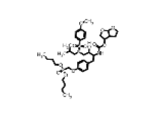 CCCCOP(=O)(COc1ccc(CC(NC(=O)OC2COC3OCCC23)C(O)CN(CC(C)C)S(=O)(=O)c2ccc(OC)cc2)cc1)OCCCC